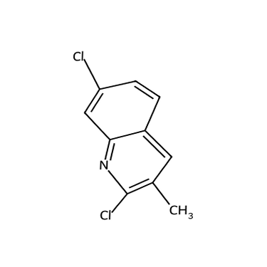 Cc1cc2ccc(Cl)cc2nc1Cl